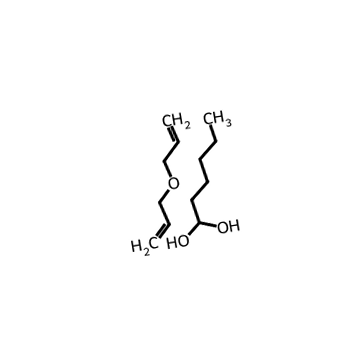 C=CCOCC=C.CCCCCC(O)O